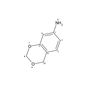 Nc1ccc2c(c1)OCOC2